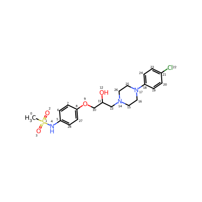 CS(=O)(=O)Nc1ccc(OCC(O)CN2CCN(c3ccc(Cl)cc3)CC2)cc1